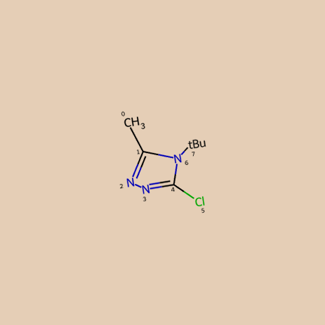 Cc1nnc(Cl)n1C(C)(C)C